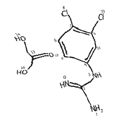 N=C(N)Nc1ccc(Cl)c(Cl)c1.O=C(O)O